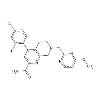 COc1ccnc(CN2CCc3c(-c4ccc(Cl)cc4F)cc(C(N)=O)nc3C2)n1